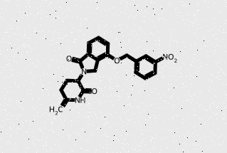 C=C1CCC(N2Cc3c(OCc4cccc([N+](=O)[O-])c4)cccc3C2=O)C(=O)N1